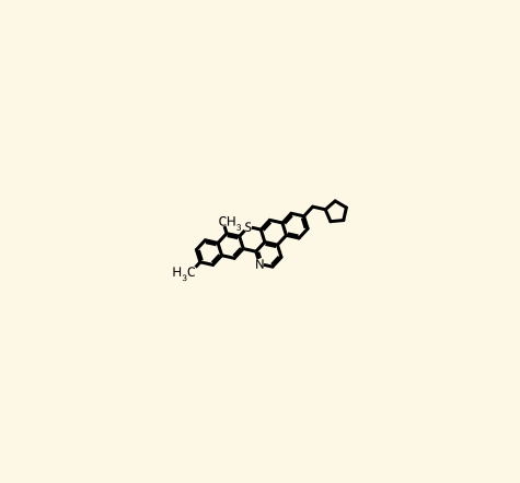 Cc1ccc2c(C)c3c(cc2c1)-c1nccc2c1c(cc1cc(CC4CCCC4)ccc12)S3